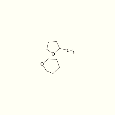 C1CCOCC1.CC1CCCO1